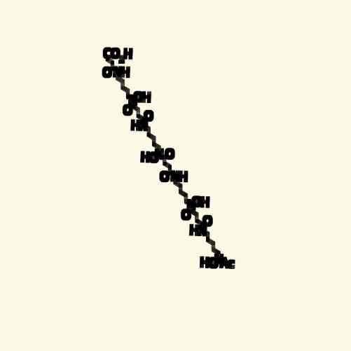 CC(=O)N(O)CCCCCNC(=O)CCC(=O)N(O)CCCCCNC(=O)CCC(=O)N(O)CCCCCNC(=O)CCC(=O)N(O)CCCCCNC(=O)CCC(=O)O